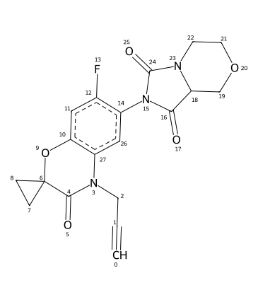 C#CCN1C(=O)C2(CC2)Oc2cc(F)c(N3C(=O)C4COCCN4C3=O)cc21